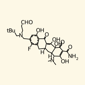 CN(C)[C@@H]1C(O)=C(C(N)=O)C(=O)[C@@]2(O)C(O)=C3C(=O)c4c(O)cc(CN(CCC=O)CC(C)(C)C)c(F)c4C[C@H]3C[C@@H]12